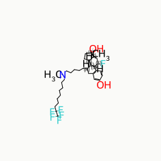 CN(CCCCCCCCC(F)(F)C(F)(F)F)CCCCC[C@@H]1Cc2cc(O)ccc2[C@@H]2[C@@H]1[C@@H]1CC[C@H](O)[C@@]1(C)C[C@@H]2F